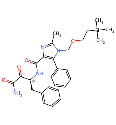 Cc1nc(C(=O)N[C@@H](Cc2ccccc2)C(=O)C(N)=O)c(-c2ccccc2)n1COCC[Si](C)(C)C